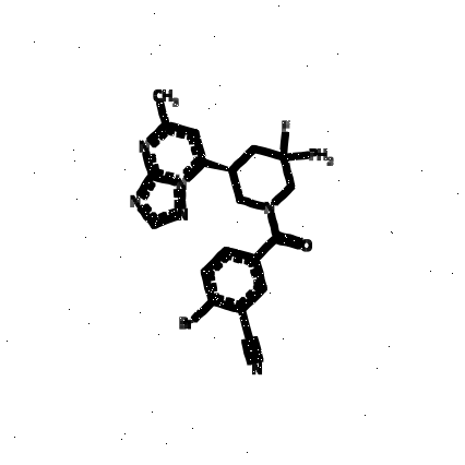 Cc1cc([C@@H]2CN(C(=O)c3ccc(Br)c(C#N)c3)CC(F)(P)C2)n2ncnc2n1